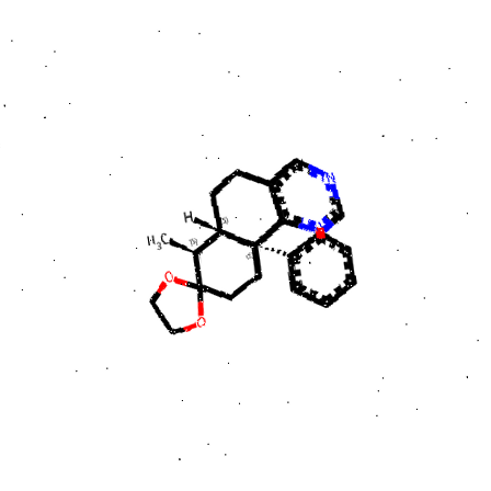 C[C@H]1[C@@H]2CCc3cncnc3[C@@]2(c2ccccc2)CCC12OCCO2